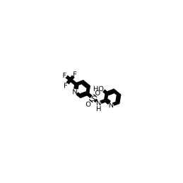 O=S(=O)(Nc1ncccc1O)c1ccc(C(F)(F)F)nc1